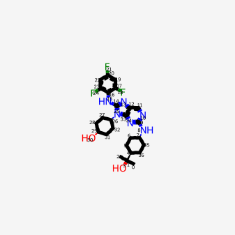 CC(C)(O)[C@H]1CC[C@H](Nc2ncc3nc(Nc4c(F)cc(F)cc4F)n([C@H]4CC[C@@H](O)CC4)c3n2)CC1